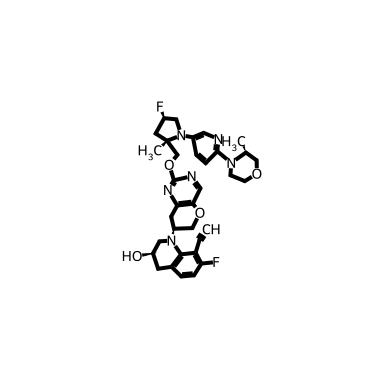 C#Cc1c(F)ccc2c1N([C@H]1COc3cnc(OC[C@]4(C)C[C@@H](F)CN4c4ccc(N5CCOC[C@H]5C)nc4)nc3C1)C[C@H](O)C2